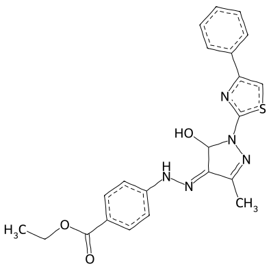 CCOC(=O)c1ccc(N/N=C2/C(C)=NN(c3nc(-c4ccccc4)cs3)C2O)cc1